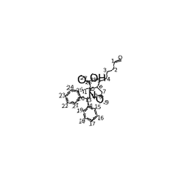 C=CCCCCC(COC)C(C)(N=C(c1ccccc1)c1ccccc1)C(=O)O